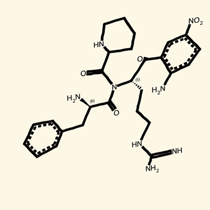 N=C(N)NCCC[C@@H](C(=O)c1cc([N+](=O)[O-])ccc1N)N(C(=O)C1CCCCN1)C(=O)[C@H](N)Cc1ccccc1